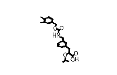 Cc1ccc(COC(=O)NCc2cccc(CC(OC(C)C)C(=O)O)c2)cc1C